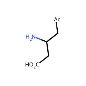 CC(=O)CC(N)CC(=O)O